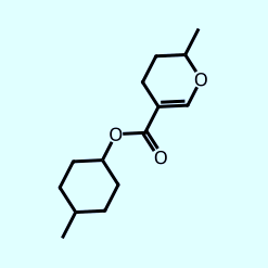 CC1CCC(OC(=O)C2=COC(C)CC2)CC1